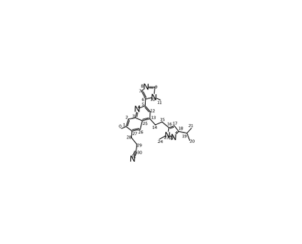 Cc1cc2nc(-c3cncn3C)cc(CCc3cc(C(C)C)nn3C)c2cc1CCC#N